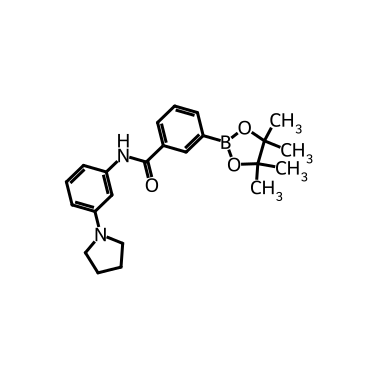 CC1(C)OB(c2cccc(C(=O)Nc3cccc(N4CCCC4)c3)c2)OC1(C)C